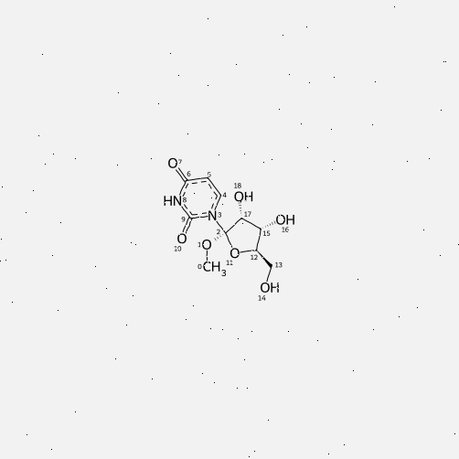 CO[C@@]1(n2ccc(=O)[nH]c2=O)O[C@H](CO)[C@@H](O)[C@H]1O